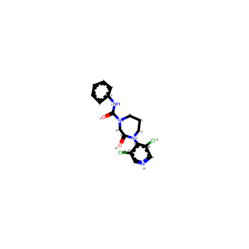 O=C(Nc1ccccc1)N1CCCN(c2c(Cl)cncc2Cl)C(=O)C1